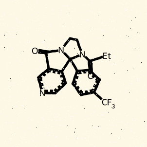 CCC(=O)N1CCN2C(=O)c3cnccc3C12c1ccc(C(F)(F)F)cc1